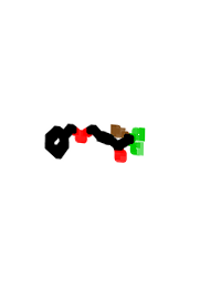 O=C(C#CCOCc1ccccc1)C(Cl)(Cl)Br